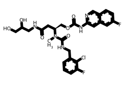 CN(C(=O)NCc1cccc(F)c1Cl)[C@H](COC(=O)Nc1cc2cc(F)ccc2cn1)CC(=O)NCC(O)CO